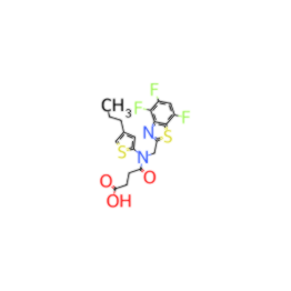 CCCc1csc(N(Cc2nc3c(F)c(F)cc(F)c3s2)C(=O)CCC(=O)O)c1